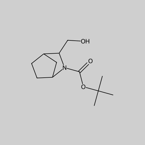 CC(C)(C)OC(=O)N1C2CCC(C2)C1CO